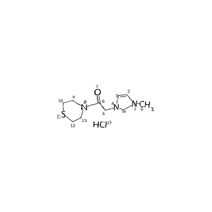 CN1C=CN(CC(=O)N2CCSCC2)C1.Cl